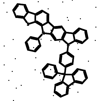 c1ccc(-n2c3cc4c(cc3c3ccc5c6ccccc6sc5c32)c2ccccc2n4-c2ccc(C3(c4ccccc4)c4ccccc4-c4ccccc43)cc2)cc1